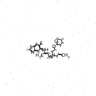 C=CCN(CCOC1CCCCO1)/N=C\C=C(/C)Nc1cc2ncsc2cc1F